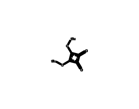 CC(C)(C)Oc1c(OC(C)(C)C)c(=O)c1=O